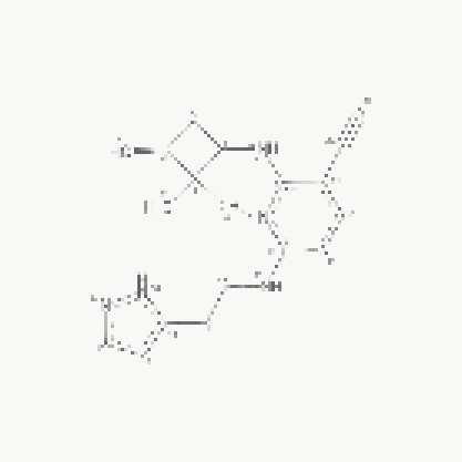 CC1(C)[C@@H](O)C[C@H]1Nc1nc(NCCc2ccn[nH]2)ncc1C#N